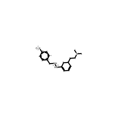 CN(C)CCC1C=CC=C(NNCc2ccc([N+](=O)[O-])cc2)C1